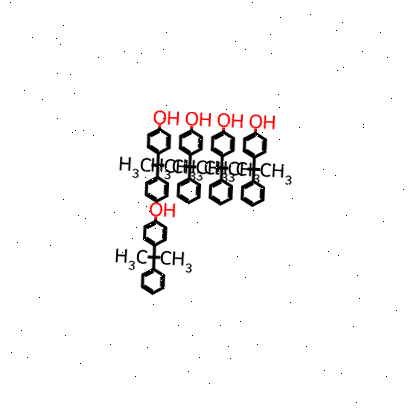 CC(C)(c1ccccc1)c1ccc(O)cc1.CC(C)(c1ccccc1)c1ccc(O)cc1.CC(C)(c1ccccc1)c1ccc(O)cc1.CC(C)(c1ccccc1)c1ccc(O)cc1.CC(C)(c1ccccc1)c1ccc(O)cc1